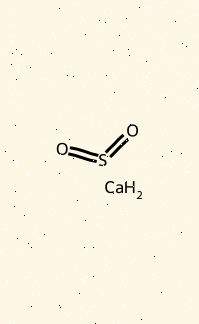 O=S=O.[CaH2]